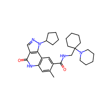 Cc1cc2[nH]c(=O)c3cnn(C4CCCC4)c3c2cc1C(=O)NCC1(N2CCCCC2)CCCCC1